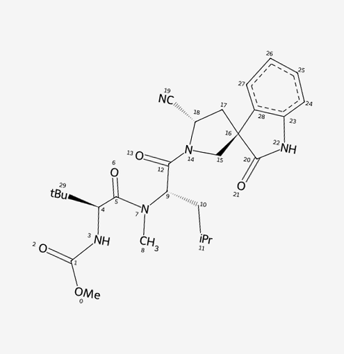 COC(=O)N[C@H](C(=O)N(C)[C@@H](CC(C)C)C(=O)N1C[C@]2(C[C@H]1C#N)C(=O)Nc1ccccc12)C(C)(C)C